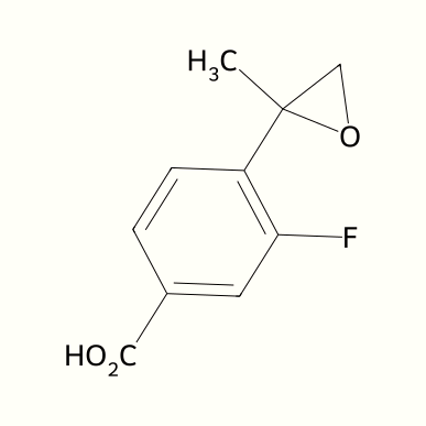 CC1(c2ccc(C(=O)O)cc2F)CO1